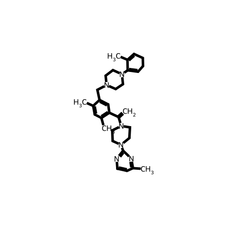 C=C(c1cc(CN2CCN(C3=CCCC=C3C)CC2)c(C)cc1C)N1CCN(c2nccc(C)n2)CC1